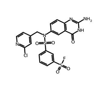 Nc1nc2ccc(N(Cc3ccnc(Cl)c3)S(=O)(=O)c3cccc(S(=O)(=O)F)c3)cc2c(=O)[nH]1